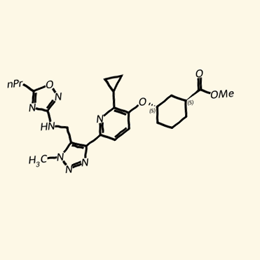 CCCc1nc(NCc2c(-c3ccc(O[C@H]4CCC[C@H](C(=O)OC)C4)c(C4CC4)n3)nnn2C)no1